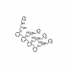 OC(CNCc1ccco1)COc1ccccc1Cc1cccc(Cc2cccc(Cc3ccccc3OCC(O)CNCc3ccco3)c2OCC(O)CNCc2ccco2)c1OCC(O)CNCc1ccco1